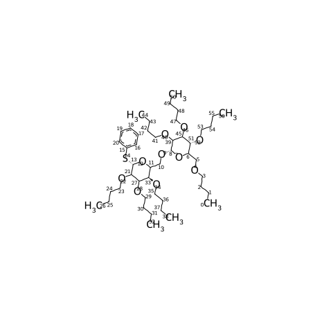 CCCCOCC1O[C@H](OCC2O[C@@H](Sc3ccccc3)C(OCCCC)C(OCCCC)[C@@H]2OCCCC)C(OCCCC)C(OCCCC)[C@@H]1OCCCC